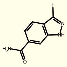 NC(=O)c1ccc2c(I)n[nH]c2c1